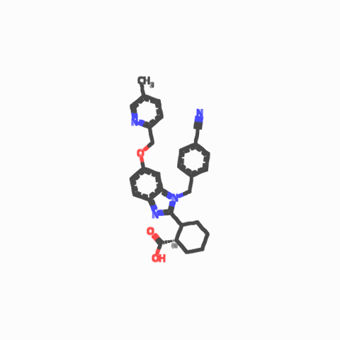 Cc1ccc(COc2ccc3nc(C4CCCC[C@@H]4C(=O)O)n(Cc4ccc(C#N)cc4)c3c2)nc1